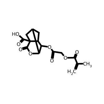 C=C(C)C(=O)OCC(=O)OC1C2OC(=O)C3(C(=O)O)CC2CC13